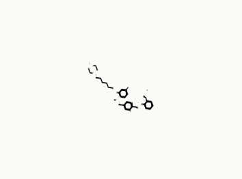 COC(=O)c1ccccc1NC(=O)c1ccc(C(=O)N(C)c2ccc(C)cc2OCCCCCC(=O)N2CCN(C)CC2)cc1OC.Cl